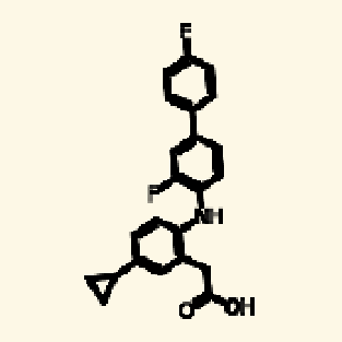 O=C(O)Cc1cc(C2CC2)ccc1Nc1ccc(-c2ccc(F)cc2)cc1F